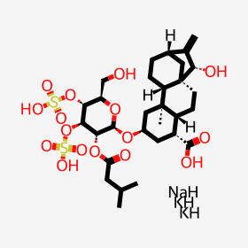 C=C1[C@H]2CC[C@H]3[C@]4(C)C[C@H](O[C@@H]5O[C@H](CO)[C@@H](OS(=O)(=O)O)[C@H](OS(=O)(=O)O)[C@H]5OC(=O)CC(C)C)C[C@@H](C(=O)O)[C@H]4CC[C@]3(C2)[C@H]1O.[KH].[KH].[NaH]